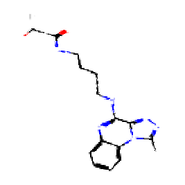 Cc1nnc2c(NCCCCNC(=O)[C@H](O)C(C)C)nc3ccccc3n12